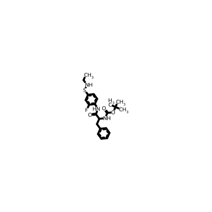 CCNSc1ccc(NC(=O)C(Cc2ccccc2)NC(=O)OC(C)(C)C)c(F)c1